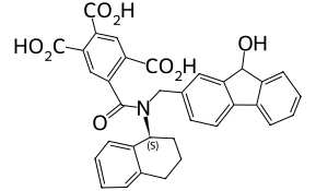 O=C(O)c1cc(C(=O)O)c(C(=O)N(Cc2ccc3c(c2)C(O)c2ccccc2-3)[C@H]2CCCc3ccccc32)cc1C(=O)O